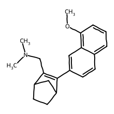 COc1cccc2ccc(C3=C(CN(C)C)C4CCC3C4)cc12